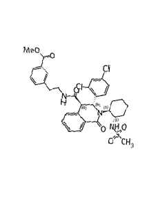 COC(=O)c1cccc(CCNC(=O)[C@@H]2c3ccccc3C(=O)N([C@H]3CCCC[C@@H]3NS(C)(=O)=O)[C@H]2c2ccc(Cl)cc2Cl)c1